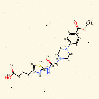 COC(=O)c1ccc(N2CCN(CC(=O)Nc3nc(CCCC(=O)O)cs3)CC2)cc1